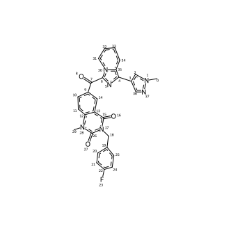 Cn1cc(-c2nc(C(=O)c3ccc4c(c3)c(=O)n(Cc3ccc(F)cc3)c(=O)n4C)n3ccccc23)cn1